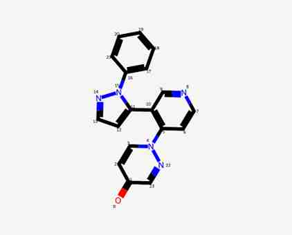 O=c1ccn(-c2ccncc2-c2ccnn2-c2ccccc2)nc1